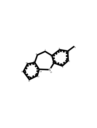 Cc1ccc2c(c1)CCc1ccccc1S2